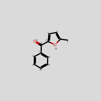 Cc1ccc(C(=O)c2[c]cccc2)o1